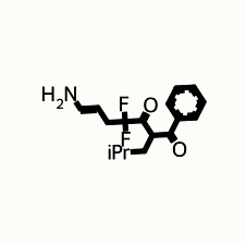 CC(C)CC(C(=O)c1ccccc1)C(=O)C(F)(F)CC=CN